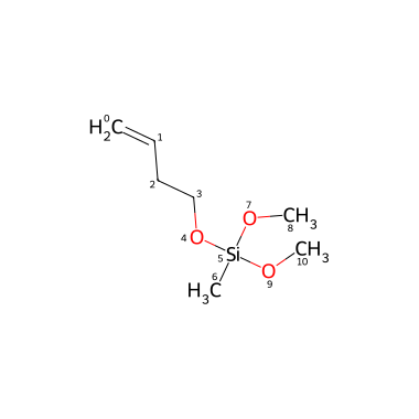 C=CCCO[Si](C)(OC)OC